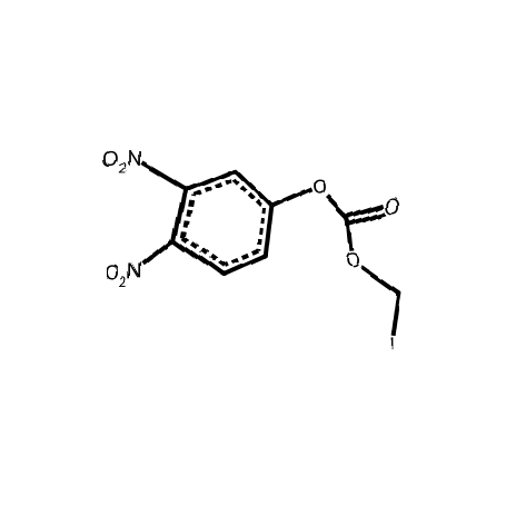 O=C(OCI)Oc1ccc([N+](=O)[O-])c([N+](=O)[O-])c1